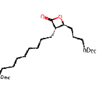 CCCCCCCCCCCCCCCCCC[C@@H]1C(=O)O[C@H]1CCCCCCCCCCCCC